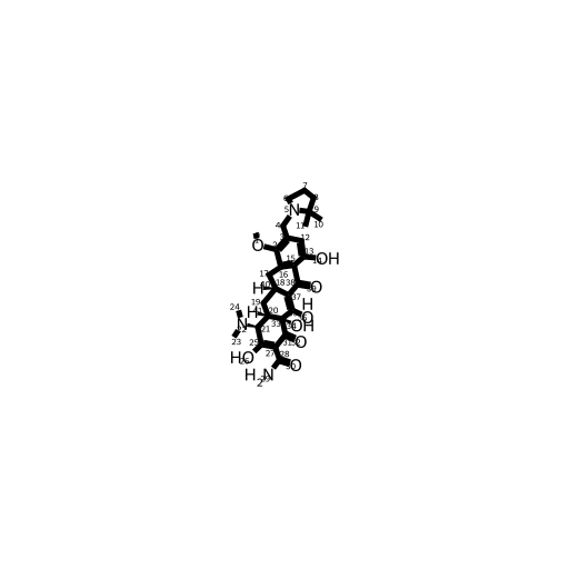 COc1c(CN2CCCC2(C)C)cc(O)c2c1C[C@H]1C[C@H]3[C@H](N(C)C)C(O)=C(C(N)=O)C(=O)[C@@]3(O)C(O)=C1C2=O